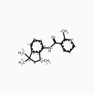 Cc1ncccc1C(=O)Nc1cccc2c1[C@H](C)CC2(C)C